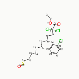 CCOC(=O)C(Cl)(Cl)CCCCCCCCCC=S=O.Clc1ccccc1